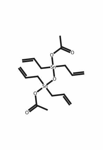 C=C[CH2][Sn]([CH2]C=C)([O]C(C)=O)[O][Sn]([CH2]C=C)([CH2]C=C)[O]C(C)=O